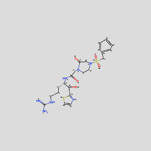 N=C(N)NCCC[C@H](NC(=O)CN1CCN(S(=O)(=O)Cc2ccccc2)CC1=O)C(=O)c1nccs1